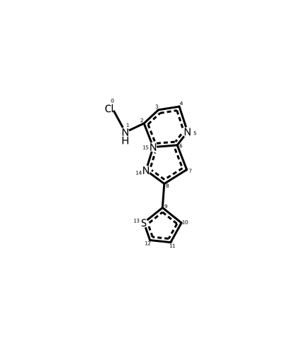 ClNc1ccnc2cc(-c3cccs3)nn12